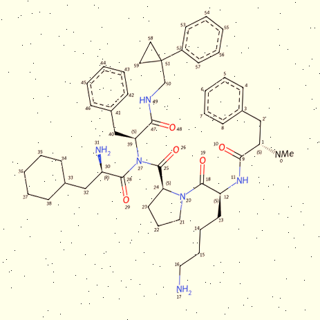 CN[C@@H](Cc1ccccc1)C(=O)N[C@@H](CCCCN)C(=O)N1CCC[C@H]1C(=O)N(C(=O)[C@H](N)CC1CCCCC1)[C@@H](Cc1ccccc1)C(=O)NCC1(c2ccccc2)CC1